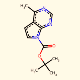 Cc1ncnc2c1ccn2C(=O)OC(C)(C)C